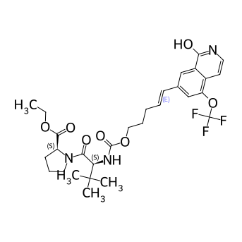 CCOC(=O)[C@@H]1CCCN1C(=O)[C@@H](NC(=O)OCCC/C=C/c1cc(OC(F)(F)F)c2ccnc(O)c2c1)C(C)(C)C